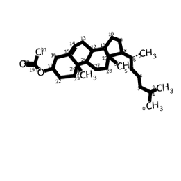 CC(C)CCC[C@@H](C)C1CCC2C3CC=C4CC(OC(=O)Cl)CCC4(C)C3CCC21C